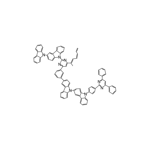 C=C/C=C\C=C(/C)c1cc(-c2cccc(-c3ccc4c(c3)c3ccccc3n4-c3ccc4c(c3)c3ccccc3n4-c3ccc(-c4nc(-c5ccccc5)cc(-c5ccccc5)n4)cc3)c2)nc(-n2c3ccccc3c3cc(-n4c5ccccc5c5ccccc54)ccc32)n1